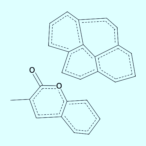 Cc1cc2ccccc2oc1=O.c1cc2ccc3cccc4ccc(c1)c2c34